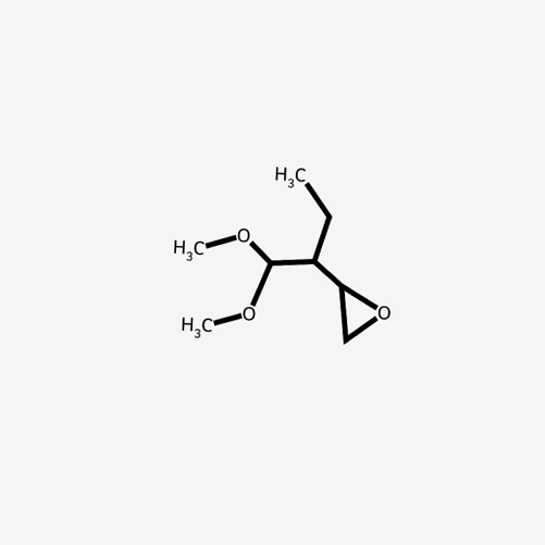 CCC(C1CO1)C(OC)OC